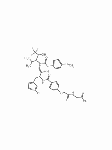 COc1ccc([C@H](NC(=O)[C@H](Cc2cccc(Cl)c2)NC(=O)c2ccc(OCC(=O)NCC(=O)O)cc2)C(=O)N[C@@H](C(C)C)[C@H](O)C(F)(F)F)cc1